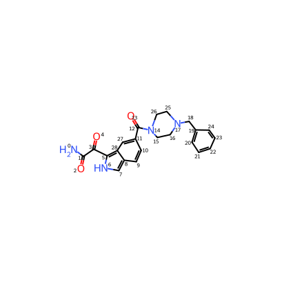 NC(=O)C(=O)c1[nH]cc2ccc(C(=O)N3CCN(Cc4ccccc4)CC3)cc12